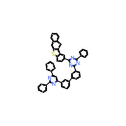 c1ccc(-c2cc(-c3cccc(-c4cccc(-c5nc(-c6ccccc6)nc(-c6ccc7sc8cc9ccccc9cc8c7c6)n5)c4)c3)nc(-c3ccccc3)n2)cc1